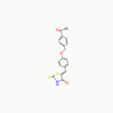 CC(C)C(=O)c1ccc(COc2ccc(/C=C3\SC(=S)NC3=O)cc2)cc1